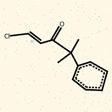 CC(C)(C(=O)/C=C/Cl)c1ccccc1